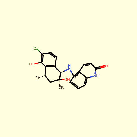 CC[C@H]1C[C@@](O)(C(F)(F)F)[C@H](Nc2cccc3[nH]c(=O)ccc23)c2ccc(Cl)c(O)c21